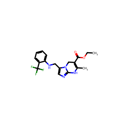 CCOC(=O)C1=C(C)Nc2ncc(CNc3ccccc3C(F)(F)F)n2C1